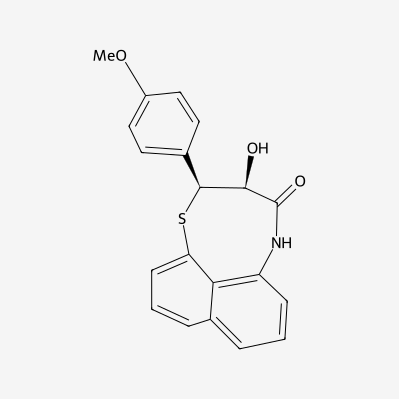 COc1ccc([C@@H]2Sc3cccc4cccc(c34)NC(=O)[C@@H]2O)cc1